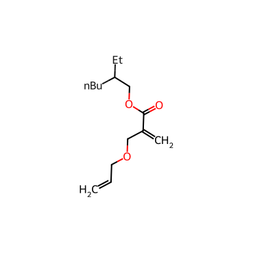 C=CCOCC(=C)C(=O)OCC(CC)CCCC